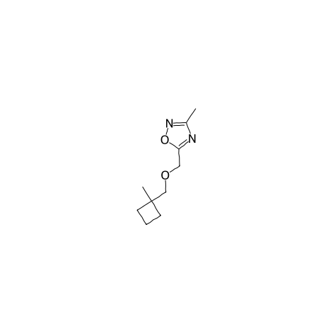 Cc1noc(COCC2(C)CCC2)n1